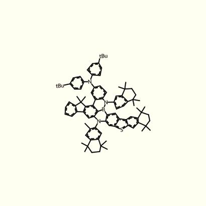 Cc1cc2c(cc1N1c3cc4sc5cc6c(cc5c4cc3B3c4c1cc1c(c4-c4cc(N(c5ccc(C(C)(C)C)cc5)c5ccc(C(C)(C)C)cc5)ccc4N3c3ccc4c(c3)C(C)(C)CCC4(C)C)C(C)(C)c3ccccc3-1)C(C)(C)CCC6(C)C)C(C)(C)CCC2(C)C